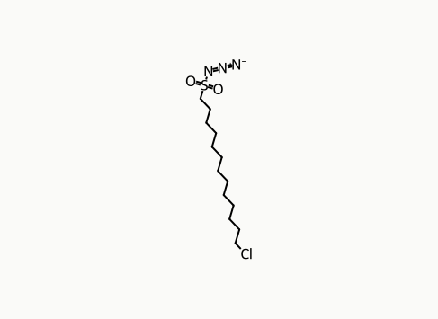 [N-]=[N+]=NS(=O)(=O)CCCCCCCCCCCCCCl